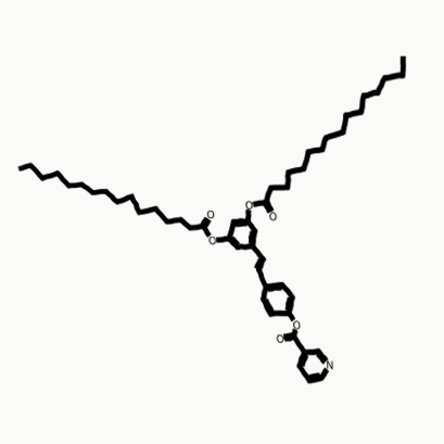 CCCCCCCCCCCCCCCC(=O)Oc1cc(/C=C/c2ccc(OC(=O)c3cccnc3)cc2)cc(OC(=O)CCCCCCCCCCCCCCC)c1